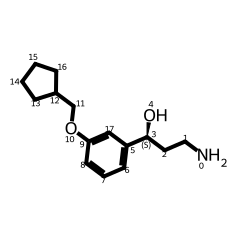 NCC[C@H](O)c1cccc(OCC2CCCC2)c1